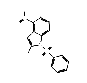 O=[N+]([O-])c1cccc2c1cc(I)n2S(=O)(=O)c1ccccc1